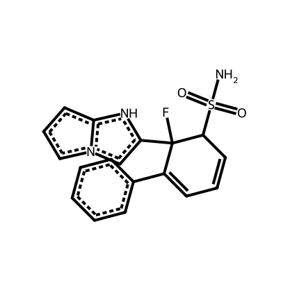 NS(=O)(=O)C1C=CC=C(c2ccccc2)C1(F)c1cn2cccc2[nH]1